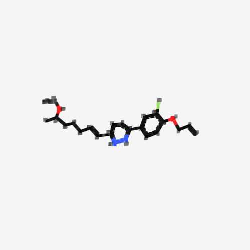 C=CCOc1ccc(-c2ccc(C=CCCCC(C)OCCCCC)nn2)cc1F